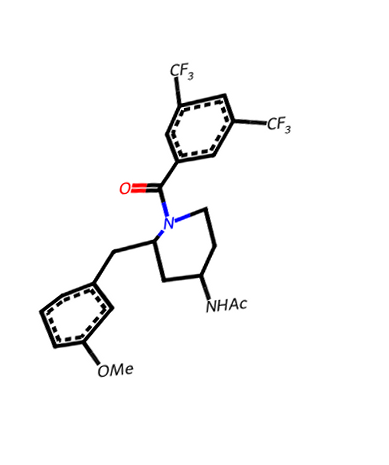 COc1cccc(CC2CC(NC(C)=O)CCN2C(=O)c2cc(C(F)(F)F)cc(C(F)(F)F)c2)c1